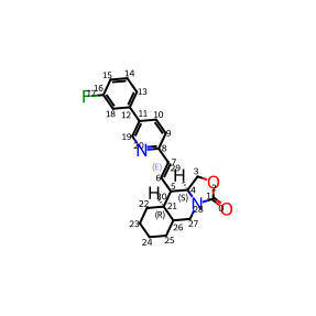 O=C1OC[C@@H]2C(/C=C/c3ccc(-c4cccc(F)c4)cn3)[C@@H]3CCCCC3CN12